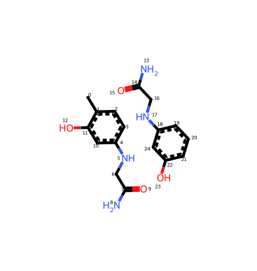 Cc1ccc(NCC(N)=O)cc1O.NC(=O)CNc1cccc(O)c1